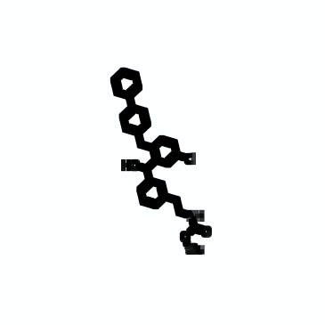 CC(C)(C)OC(=O)NCCc1cccc(C(O)c2cc(Cl)ccc2Cc2ccc(-c3ccccc3)cc2)c1